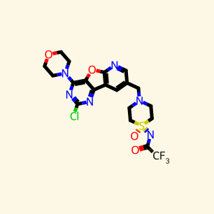 O=C(N=S1(=O)CCN(Cc2cnc3oc4c(N5CCOCC5)nc(Cl)nc4c3c2)CC1)C(F)(F)F